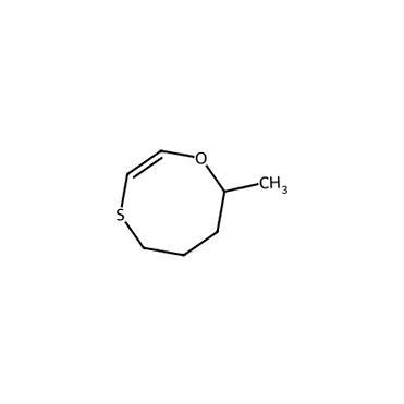 CC1CCCS/C=C\O1